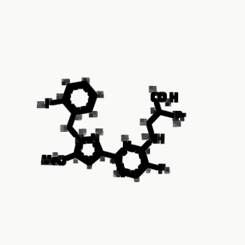 COc1cc(-c2ncc(F)c(NCC(C(=O)O)C(C)C)n2)nn1Cc1ccccc1F